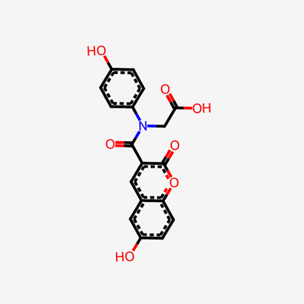 O=C(O)CN(C(=O)c1cc2cc(O)ccc2oc1=O)c1ccc(O)cc1